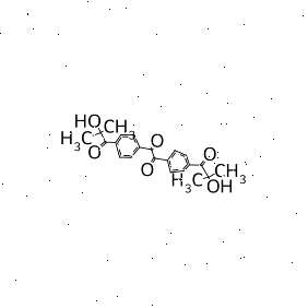 CC(C)(O)C(=O)c1ccc(C(=O)C(=O)c2ccc(C(=O)C(C)(C)O)cc2)cc1